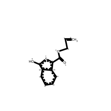 C=CCOC(=O)c1sc(O)c2ccccc12